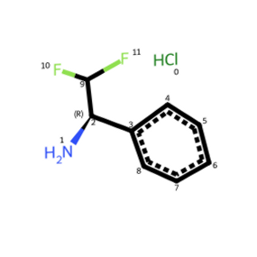 Cl.N[C@H](c1ccccc1)C(F)F